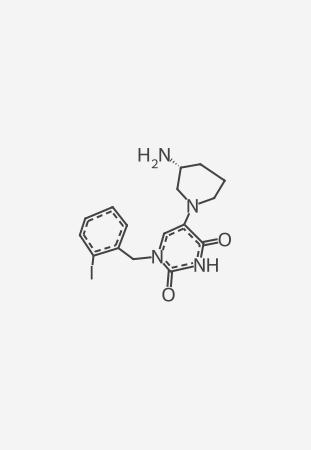 N[C@@H]1CCCN(c2cn(Cc3ccccc3I)c(=O)[nH]c2=O)C1